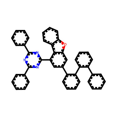 c1ccc(-c2nc(-c3ccccc3)nc(-c3cc(-c4ccccc4-c4ccccc4-c4ccccc4)cc4oc5ccccc5c34)n2)cc1